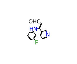 O=C/C=C(\Nc1cccc(F)c1)c1cccnc1